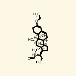 CCOC1=CC2=CC[C@@H]3[C@H]([C@@H](O)C[C@]4(C)C(=C(CO)NC=O)CC[C@@H]34)[C@@]2(C)CC1